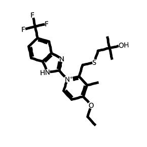 CCOc1cc[n+](-c2nc3cc(C(F)(F)F)ccc3[nH]2)c(CSCC(C)(C)O)c1C